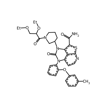 CCOCC(OCC)C(=O)N1CCCC(N2C(=O)N(c3ccccc3Oc3cccc(C)c3)c3ccnc4sc(C(N)=O)c2c34)C1